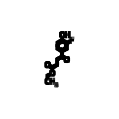 CCOC(=O)CCC(=O)c1ccc(O)c(F)c1